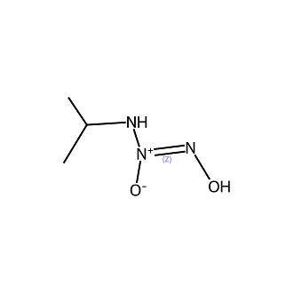 CC(C)N/[N+]([O-])=N/O